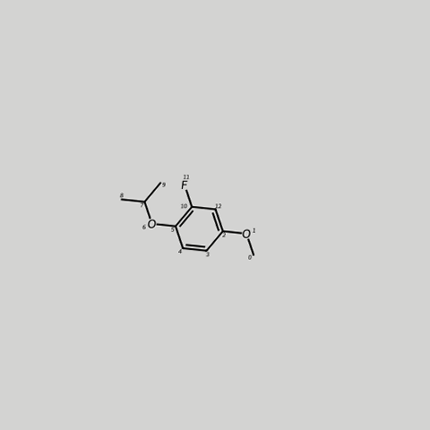 COc1ccc(OC(C)C)c(F)c1